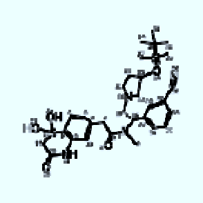 CN(C(=O)Cc1ccc2c(c1)NC(=O)CS2(O)O)[C@H](CN1CCC(O[Si](C)(C)C(C)(C)C)C1)c1cccc(C#N)c1